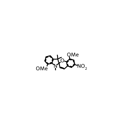 COc1cc([N+](=O)[O-])cc2c1OC1(C=C2)N(C)c2c(OC)cccc2C1(C)C